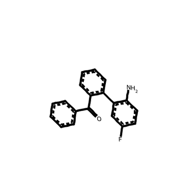 Nc1ccc(F)cc1-c1ccccc1C(=O)c1ccccc1